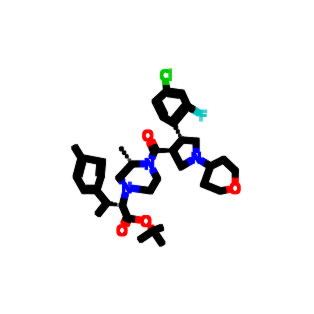 Cc1ccc(C(C)[C@@H](C(=O)OC(C)(C)C)N2CCN(C(=O)[C@@H]3CN(C4CCOCC4)C[C@H]3c3ccc(Cl)cc3F)[C@@H](C)C2)cc1